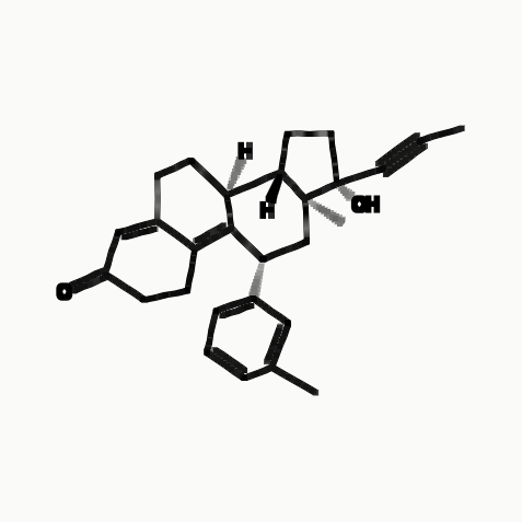 CC#C[C@]1(O)CC[C@H]2[C@@H]3CCC4=CC(=O)CCC4=C3[C@@H](c3cccc(C)c3)C[C@@]21C